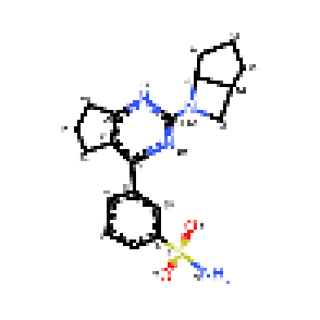 NS(=O)(=O)c1cccc(-c2nc(N3CC4CCCC43)nc3c2CCC3)c1